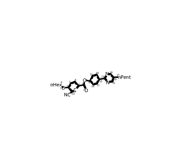 CCCCCCOc1ccc(C(=O)Oc2ccc(-c3ncc(CCCCC)cn3)cc2)cc1C#N